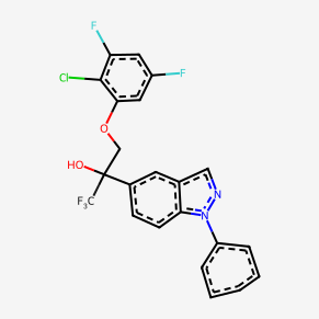 OC(COc1cc(F)cc(F)c1Cl)(c1ccc2c(cnn2-c2ccccc2)c1)C(F)(F)F